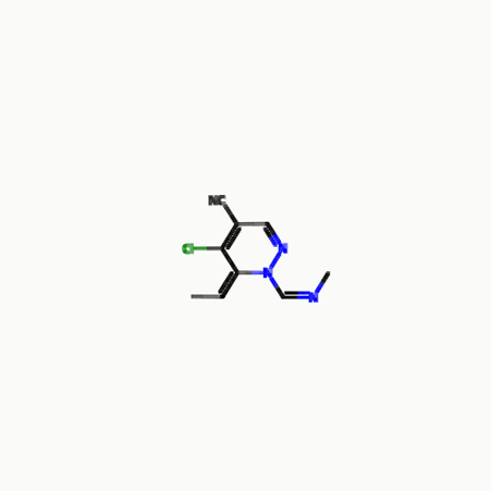 CC=C1C(Cl)=C(C#N)C=NN1/C=N\C